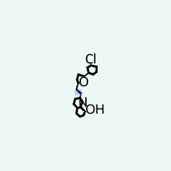 Oc1cccc2ccc(/C=C/c3ccc(-c4cccc(Cl)c4)o3)nc12